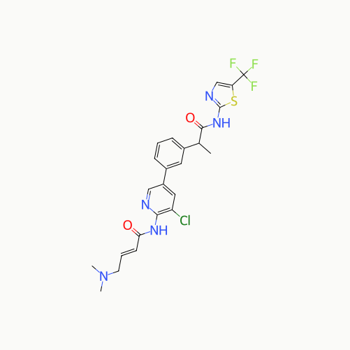 CC(C(=O)Nc1ncc(C(F)(F)F)s1)c1cccc(-c2cnc(NC(=O)/C=C/CN(C)C)c(Cl)c2)c1